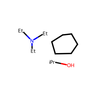 C1CCCCC1.CC(C)O.CCN(CC)CC